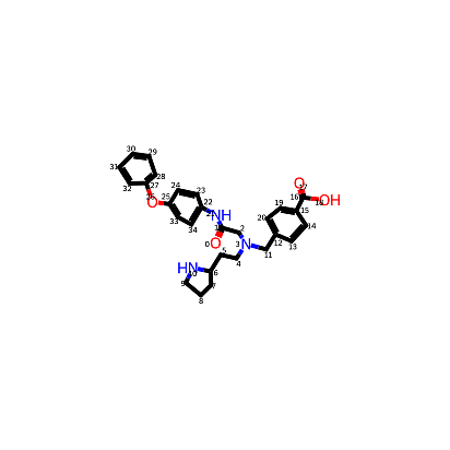 O=C(CN(CCC1CCCN1)Cc1ccc(C(=O)O)cc1)Nc1ccc(Oc2ccccc2)cc1